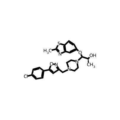 Cc1nc2cc(OC([C@H](C)O)N3CCN(Cc4cc(-c5ccc(Cl)cc5)on4)CC3)ccc2s1